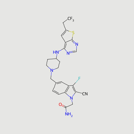 N#Cc1c(F)c2cc(CN3CCC(Nc4ncnc5sc(CC(F)(F)F)cc45)CC3)ccc2n1CC(N)=O